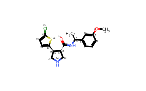 COc1cccc([C@H](C)NC(=O)[C@@H]2CNC[C@H]2c2ccc(Cl)s2)c1